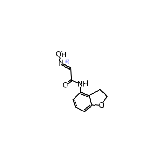 O=C(/C=N/O)Nc1cccc2c1CCO2